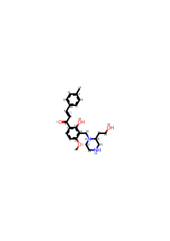 COc1ccc(C(=O)/C=C/c2ccc(C)cc2)c(O)c1CN1CCNCC1CCO